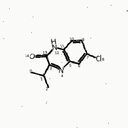 CC(C)c1nc2cc(Cl)ccc2[nH]c1=O